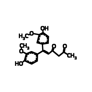 COc1cc(C(=CC(=O)CC(C)=O)c2ccc(O)c(OC)c2)ccc1O